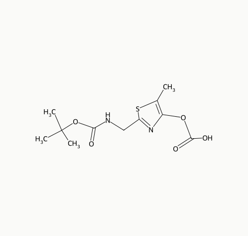 Cc1sc(CNC(=O)OC(C)(C)C)nc1OC(=O)O